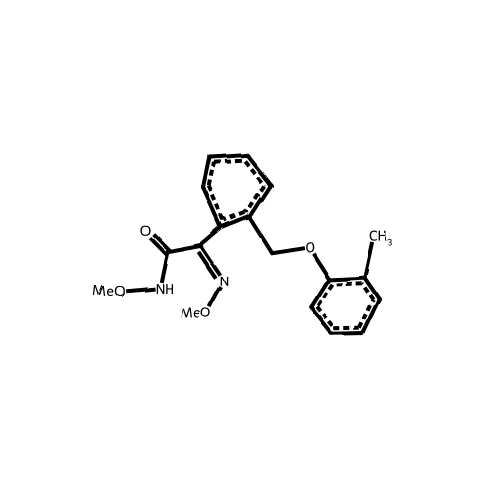 CON=C(C(=O)NOC)c1ccccc1COc1ccccc1C